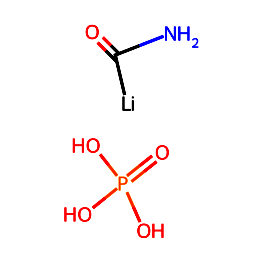 O=P(O)(O)O.[Li][C](N)=O